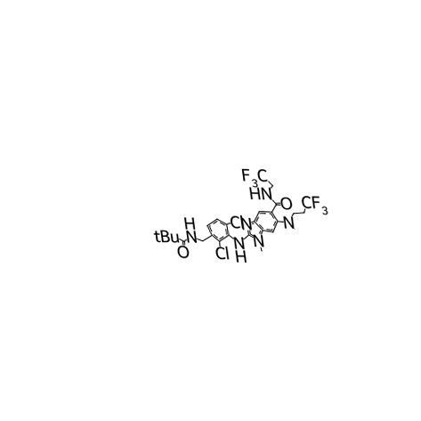 CN(CCC(F)(F)F)c1cc2c(cc1C(=O)NCC(F)(F)F)nc(Nc1c(Cl)ccc(CNC(=O)C(C)(C)C)c1Cl)n2C